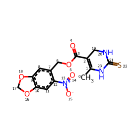 CC1=C(C(=O)OCc2cc3c(cc2[N+](=O)[O-])OCO3)CNC(=S)N1